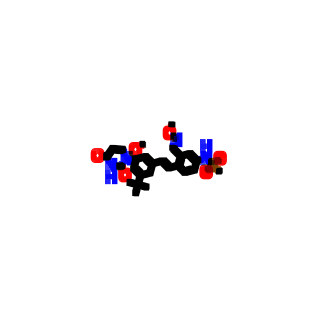 CO/N=C/c1cc(NS(C)(=O)=O)ccc1/C=C/C1=CC(OC)(n2ccc(=O)[nH]c2=O)C=C(C(C)(C)C)C1